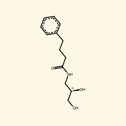 O=C(CCCc1ccccc1)NC[C@@H](O)CO